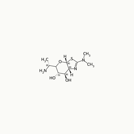 C[C@@H](N)C1O[C@@H]2SC(N(C)C)=N[C@@H]2[C@@H](O)[C@@H]1O